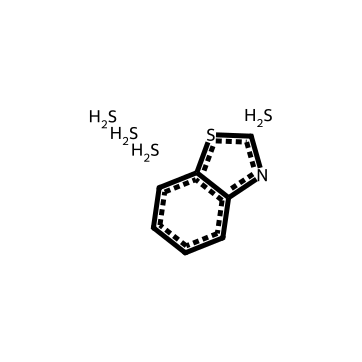 S.S.S.S.c1ccc2scnc2c1